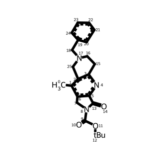 Cc1c2c(nc3c1CN(C(=O)OC(C)(C)C)C3=O)CCN(Cc1ccccc1)C2